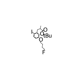 CC(Cc1cc(OCCCCF)ccc1I)C(=O)OC(C)(C)C